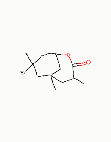 CCC1(C)CC2CC(C)(CC(C)C(=O)O2)C1